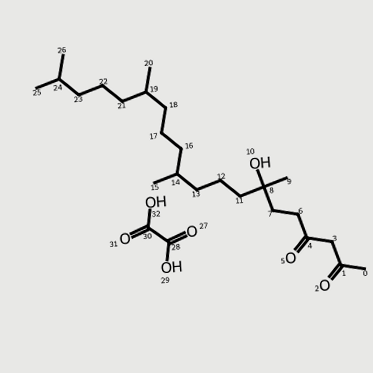 CC(=O)CC(=O)CCC(C)(O)CCCC(C)CCCC(C)CCCC(C)C.O=C(O)C(=O)O